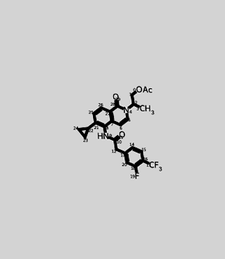 CC(=O)OCC(C)n1ccc2c(NC(=O)Cc3ccc(C(F)(F)F)c(F)c3)c(C3CC3)ccc2c1=O